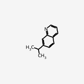 CC(C)c1ccc2cccnc2c1